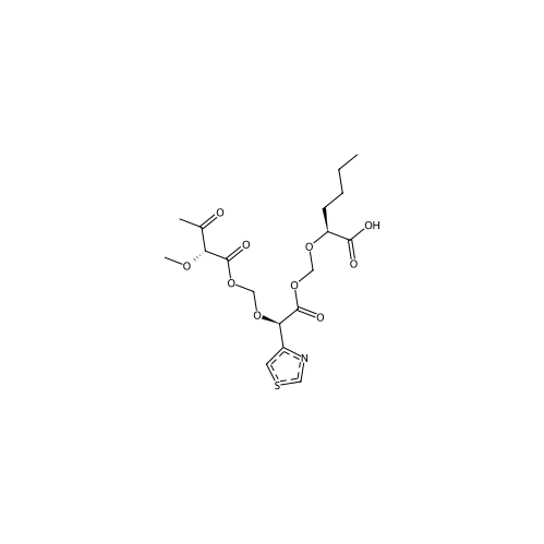 CCCC[C@H](OCOC(=O)[C@H](OCOC(=O)[C@H](OC)C(C)=O)c1cscn1)C(=O)O